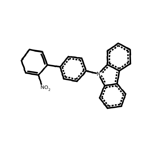 O=[N+]([O-])C1=CCCC=C1c1ccc(-n2c3ccccc3c3ccccc32)cc1